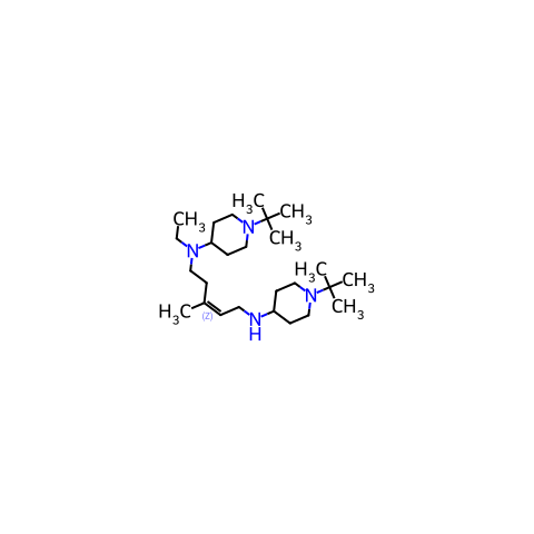 CCN(CC/C(C)=C\CNC1CCN(C(C)(C)C)CC1)C1CCN(C(C)(C)C)CC1